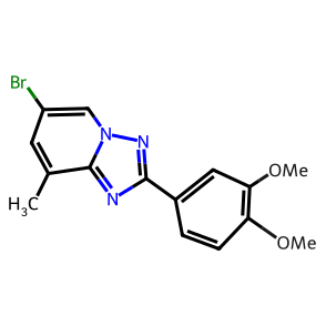 COc1ccc(-c2nc3c(C)cc(Br)cn3n2)cc1OC